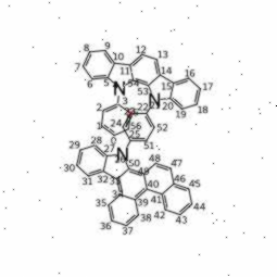 c1ccc(-n2c3ccccc3c3ccc4c5ccccc5n(-c5ccc(-n6c7ccccc7c7c8ccccc8c8c9ccccc9ccc8c76)cc5)c4c32)cc1